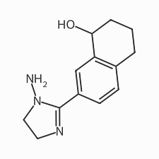 NN1CCN=C1c1ccc2c(c1)C(O)CCC2